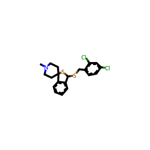 CN1CCC2(CC1)SC(SCc1ccc(Cl)cc1Cl)c1ccccc12